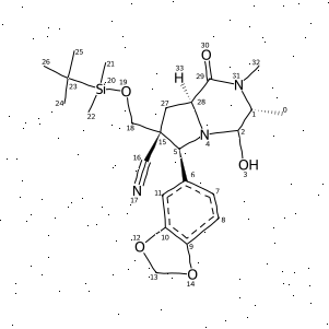 C[C@@H]1C(O)N2[C@@H](c3ccc4c(c3)OCO4)[C@](C#N)(CO[Si](C)(C)C(C)(C)C)C[C@H]2C(=O)N1C